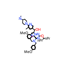 CCCC(CCC)Oc1nc(N(Cc2ccc(OC)cc2)Cc2ccc(OC)cc2)c2ncc(C(O)c3cnc(N4CCC(N(C)C)CC4)c(C)c3)n2n1